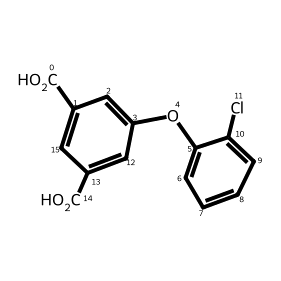 O=C(O)c1cc(Oc2ccccc2Cl)cc(C(=O)O)c1